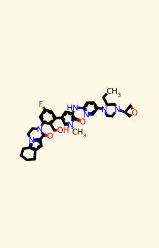 CCC1CN(C2COC2)CCN1c1ccc(Nc2cc(-c3cc(F)cc(N4CCn5c(cc6c5CCCC6)C4=O)c3CO)cn(C)c2=O)nc1